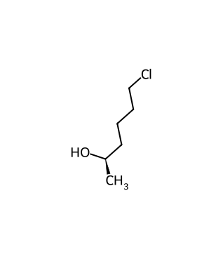 C[C@@H](O)CCCCCl